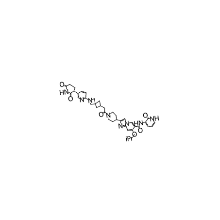 CC(C)Oc1cc2nc(C3CCN(C(=O)CC4CC5(C4)CN(c4ccc(C6CCC(=O)NC6=O)cn4)C5)CC3)cn2cc1C(=O)Nc1ccc[nH]c1=O